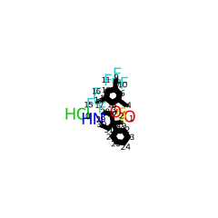 Cl.O=S(=O)(Cc1cc(C(F)(F)F)cc(C(F)(F)F)c1)CC1(c2ccccc2)CCNCC1